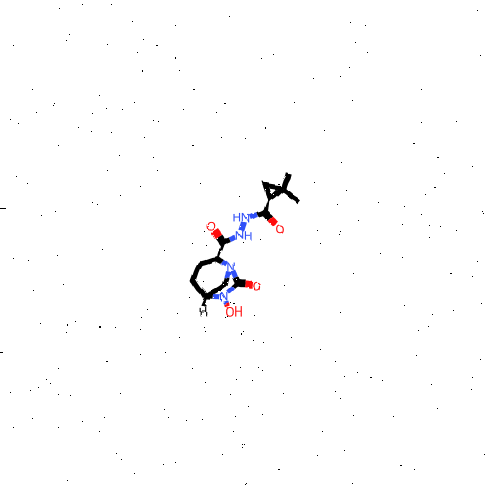 CC1(C)C[C@@H]1C(=O)NNC(=O)[C@@H]1CC[C@@H]2CN1C(=O)N2O